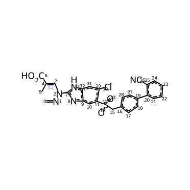 C=NN(/C=C(\C)C(=O)O)c1nc2cc(S(=O)(=O)Cc3ccc(-c4ccccc4C#N)cc3)c(Cl)cc2[nH]1